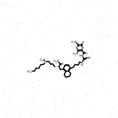 CCCCCCN(C)CCCC[C@@H](Cc1ccc(CCCCNC(=N)NC(=O)c2nc(Cl)c(N)nc2N)c2c1CCCC2)C(N)=O